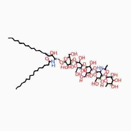 CCCCCCCCCCCCC/C=C/[C@@H](O)[C@H](CO[C@@H]1OC(CO)[C@@H](O[C@@H]2OC(CO)[C@H](O)[C@H](O[C@H]3OC(CO)[C@H](O)[C@H](O[C@@H]4OC(CO)[C@@H](O)[C@H](O[C@H]5OC(C)[C@@H](O)C(O)[C@@H]5O)C4NC(C)=O)C3O)C2O)[C@H](O)C1O)NC(=O)CCCCCCCCCCCCCCC